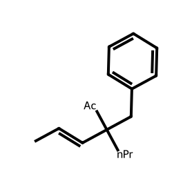 CC=CC(CCC)(Cc1ccccc1)C(C)=O